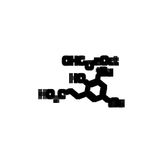 CC(C)(C)c1cc(CCC(=O)O)c(O)c(C(C)(C)C)c1.CCCCCCCCOC=O